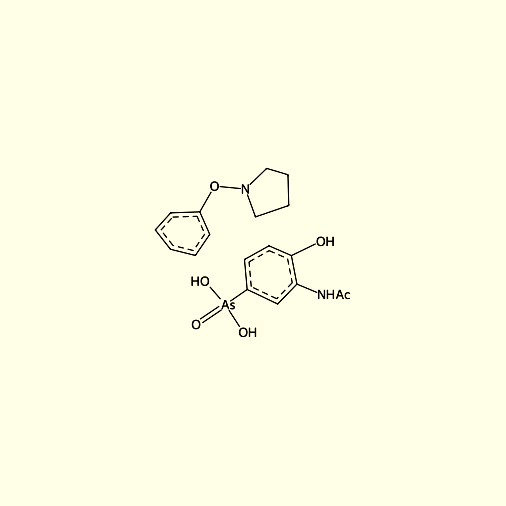 CC(=O)Nc1cc([As](=O)(O)O)ccc1O.c1ccc(ON2CCCC2)cc1